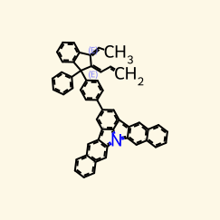 C=C/C=C1\C(=C/C)c2ccccc2C1(c1ccccc1)c1ccc(-c2cc3c4cc5ccccc5cc4n4c5cc6ccccc6cc5c(c2)c34)cc1